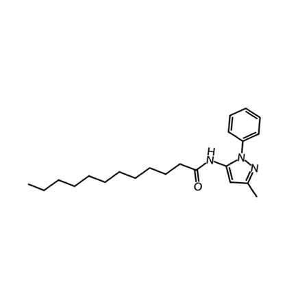 CCCCCCCCCCCC(=O)Nc1cc(C)nn1-c1ccccc1